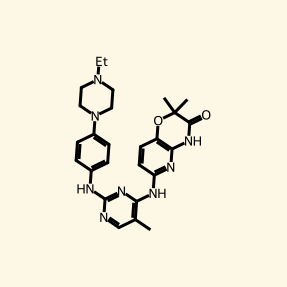 CCN1CCN(c2ccc(Nc3ncc(C)c(Nc4ccc5c(n4)NC(=O)C(C)(C)O5)n3)cc2)CC1